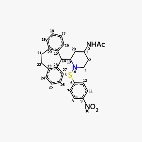 CC(=O)NC1CCN(Sc2ccc([N+](=O)[O-])cc2)C(C2c3ccccc3CCc3ccccc32)C1